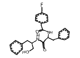 O=C(NC(Cc1ccccc1)C(=O)NC(CO)Cc1ccccc1)c1ccc(F)cc1